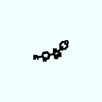 CC(C)c1ccc(-c2nc(N3CCOCC3)no2)cn1